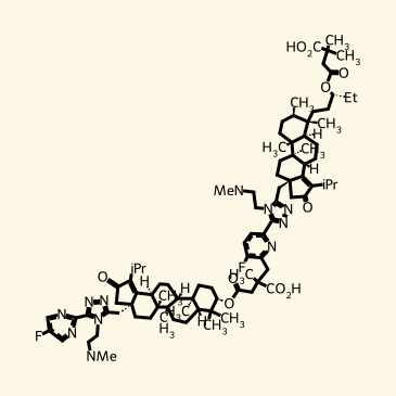 CC[C@H](CC[C@@]1(C)[C@H](C)CC[C@]2(C)[C@@H]1CC[C@@H]1C3=C(C(C)C)C(=O)C[C@]3(Cc3nnc(-c4ccc(F)c(CC(C)(CC(=O)O[C@H]5CC[C@]6(C)[C@H]7CC[C@@H]8C9=C(C(C)C)C(=O)C[C@]9(Cc9nnc(-c%10ncc(F)cn%10)n9CCNC)CC[C@@]8(C)[C@]7(C)CC[C@H]6C5(C)C)C(=O)O)n4)n3CCNC)CC[C@]12C)OC(=O)CC(C)(C)C(=O)O